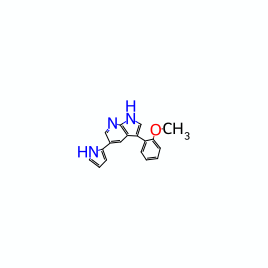 COc1ccccc1-c1c[nH]c2ncc(-c3ccc[nH]3)cc12